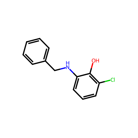 Oc1c(Cl)cccc1NCc1ccccc1